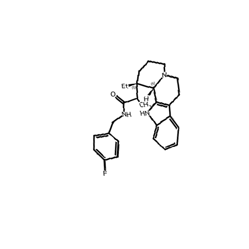 CC[C@@]1(C(C)C(=O)NCc2ccc(F)cc2)CCCN2CCc3c([nH]c4ccccc34)[C@@H]21